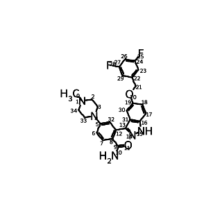 CN1CCN(c2ccc(C(N)=O)c(-c3n[nH]c4ccc(OCc5cc(F)cc(F)c5)cc34)c2)CC1